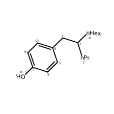 CCCCCCC(CCC)Cc1ccc(O)cc1